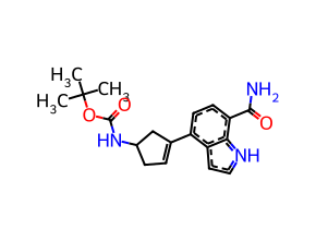 CC(C)(C)OC(=O)NC1CC=C(c2ccc(C(N)=O)c3[nH]ccc23)C1